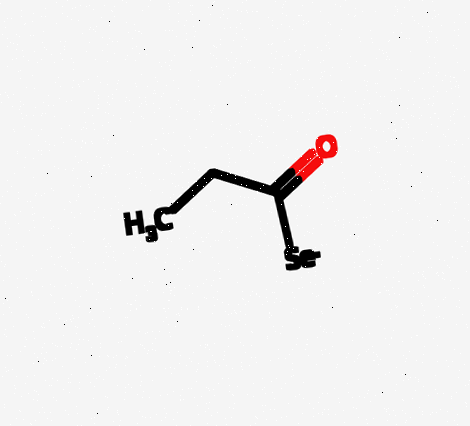 CCC(=O)[Se]